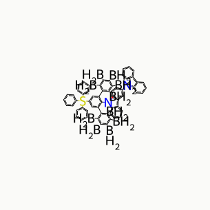 Bc1c(B)c(B)c(-c2cc(S(c3ccccc3)(c3ccccc3)c3ccccc3)cc(-c3c(B)c(B)c(B)c(B)c3B)c2-n2c3ccccc3c3cc(-n4c5ccccc5c5ccccc54)ccc32)c(B)c1B